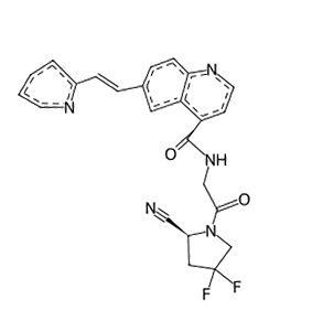 N#C[C@@H]1CC(F)(F)CN1C(=O)CNC(=O)c1ccnc2ccc(/C=C/c3ccccn3)cc12